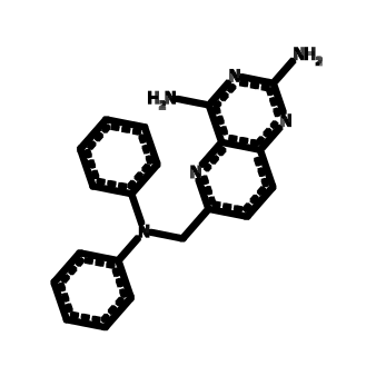 Nc1nc(N)c2nc(CN(c3ccccc3)c3ccccc3)ccc2n1